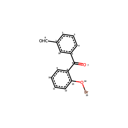 O=Cc1cccc(C(=O)c2ccccc2OBr)c1